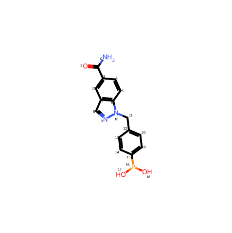 NC(=O)c1ccc2c(cnn2Cc2ccc(P(O)O)cc2)c1